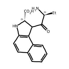 CC[C@H](N)C(=O)C1c2c(ccc3ccccc23)N[C@@H]1C(=O)O